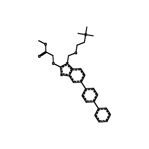 COC(=O)COc1nc2cc(-c3ccc(-c4ccccc4)cc3)ccc2n1COCC[Si](C)(C)C